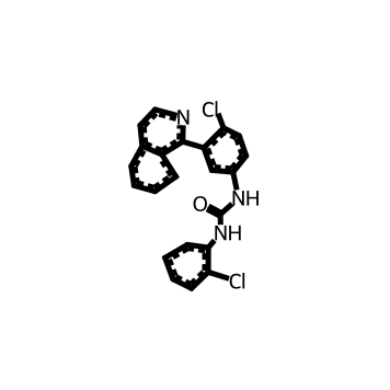 O=C(Nc1ccc(Cl)c(-c2nccc3ccccc23)c1)Nc1ccccc1Cl